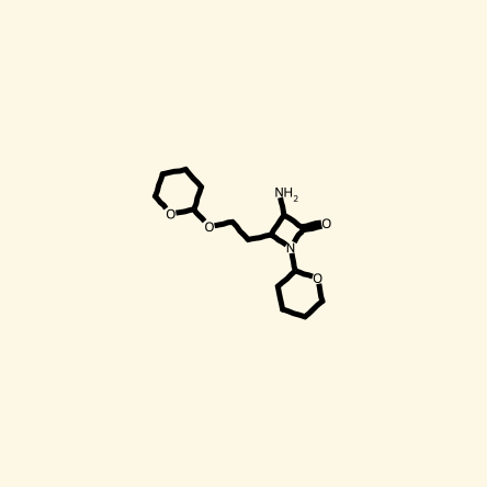 NC1C(=O)N(C2CCCCO2)C1CCOC1CCCCO1